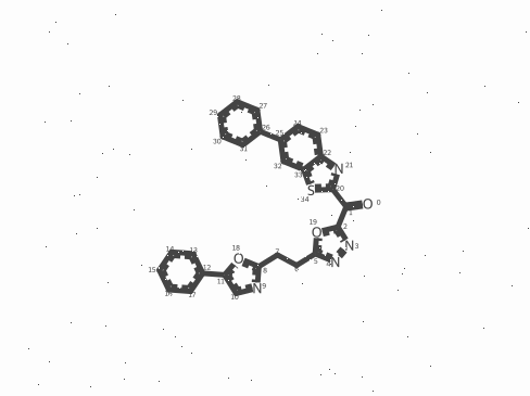 O=C(c1nnc(CCc2ncc(-c3ccccc3)o2)o1)c1nc2ccc(-c3ccccc3)cc2s1